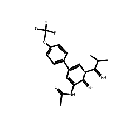 CC(=O)Nc1cc(-c2ccc(OC(F)(F)F)cc2)cn(C(=N)C(C)C)c1=N